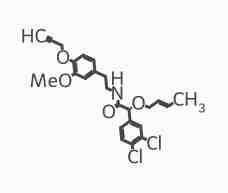 C#CCOc1ccc(CCNC(=O)[C@@H](OCC=CC)c2ccc(Cl)c(Cl)c2)cc1OC